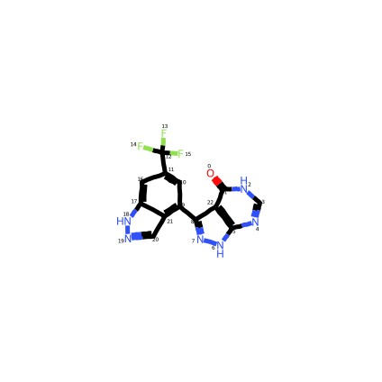 O=c1[nH]cnc2[nH]nc(-c3cc(C(F)(F)F)cc4[nH]ncc34)c12